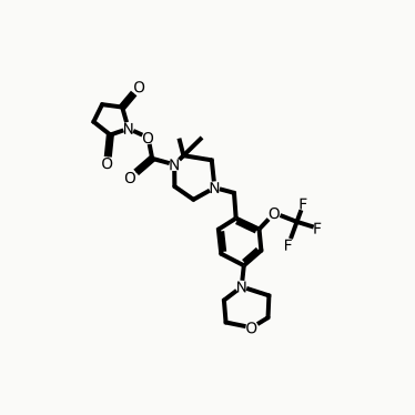 CC1(C)CN(Cc2ccc(N3CCOCC3)cc2OC(F)(F)F)CCN1C(=O)ON1C(=O)CCC1=O